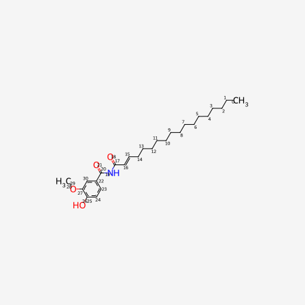 CCCCCCCCCCCCCCCC=CC(=O)NC(=O)c1ccc(O)c(OC)c1